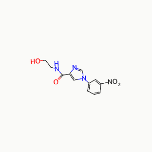 O=C(NCCO)c1cn(-c2cccc([N+](=O)[O-])c2)cn1